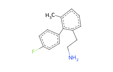 Cc1cccc(CCN)c1-c1ccc(F)cc1